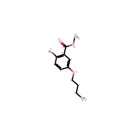 CCCCOc1ccc(Br)c(C(=O)OC)c1